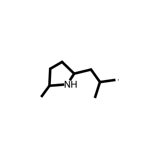 [CH2]C(C)CC1CCC(C)N1